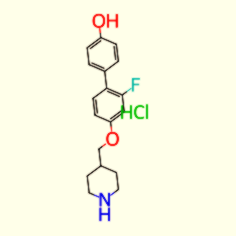 Cl.Oc1ccc(-c2ccc(OCC3CCNCC3)cc2F)cc1